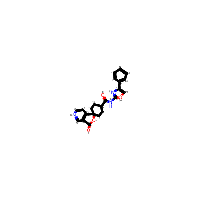 O=C1OC2(CCC(C(=O)Nc3nc(-c4ccccc4)co3)CC2)c2ccncc21